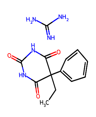 CCC1(c2ccccc2)C(=O)NC(=O)NC1=O.N=C(N)N